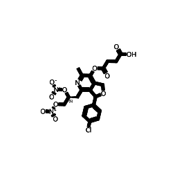 Cc1nc(C[C@@H](CO[N+](=O)[O-])O[N+](=O)[O-])c2c(c1OC(=O)CCC(=O)O)COC2c1ccc(Cl)cc1